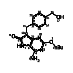 CCCCOc1nc(N)c2[nH]c(=O)n(Cc3ccc(CO)cc3)c2n1